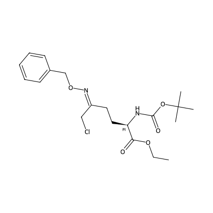 CCOC(=O)[C@@H](CCC(CCl)=NOCc1ccccc1)NC(=O)OC(C)(C)C